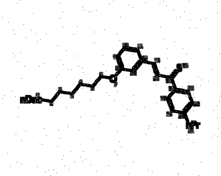 CCCCCCCCCCCCCCCCOc1cccc(C=CC(=S)c2ccc(CCC)cc2)c1